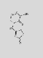 CN(C)C(=O)[C@@H](CO)NC1=NC(=O)SC1